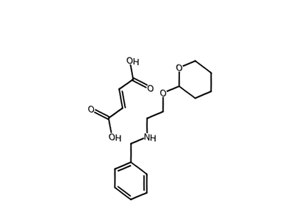 O=C(O)C=CC(=O)O.c1ccc(CNCCOC2CCCCO2)cc1